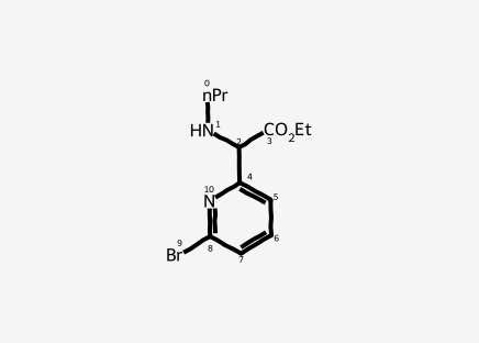 CCCNC(C(=O)OCC)c1cccc(Br)n1